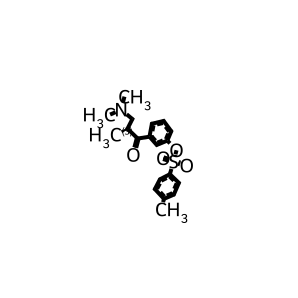 Cc1ccc(S(=O)(=O)Oc2cccc(C(=O)[C@@H](C)CN(C)C)c2)cc1